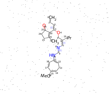 C=C/C=C(/OC/C(=C\N=C\NC1=CCC=C(OC)C=C1)C(C)C)C1=C(C)CCC1=O